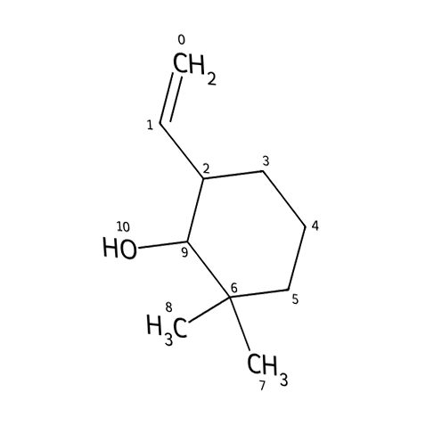 C=CC1CCCC(C)(C)C1O